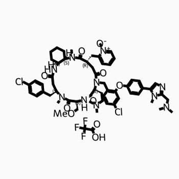 COC[C@@H]1NC(=O)[C@H](CCN(C)C)N(Cc2ccc(Cl)cc2Oc2ccc(-c3cnc(CN(C)C)n3C)cc2)C(=O)C[C@@H](Cc2cccc[n+]2[O-])C(=O)N(C)[C@H]2CCCC[C@@H]2NC(=O)C[C@H](Cc2ccc(Cl)cc2)N(C)C1=O.O=C(O)C(F)(F)F